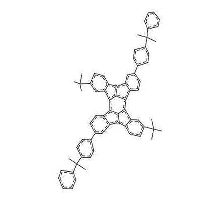 CC(C)(C)c1ccc2c(c1)c1c3c4ccc(-c5ccc(C(C)(C)c6ccccc6)cc5)cc4n4c5ccc(C(C)(C)C)cc5c(c5c6ccc(-c7ccc(C(C)(C)c8ccccc8)cc7)cc6n2c15)c34